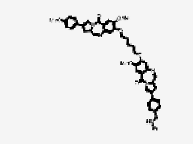 COc1ccc(C2=CN3C(=O)c4cc(OC)c(OCCCCCOc5cc6c(cc5OC)C(=O)N5C=C(c7ccc(CNC(C)C)cc7)CC5C=N6)cc4N=CC3C2)cc1